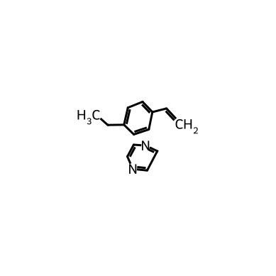 C=Cc1ccc(CC)cc1.c1cnccn1